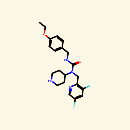 CCOc1ccc(CNC(=O)N(Cc2ncc(F)cc2F)C2CCNCC2)cc1